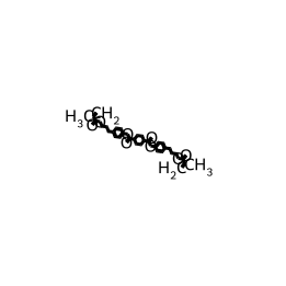 C=C(C)C(=O)OCCCc1ccc(OC(=O)C2CCC(C(=O)Oc3ccc(CCCOC(=O)C(=C)C)cc3)CC2)cc1